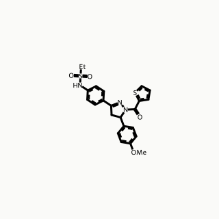 CCS(=O)(=O)Nc1ccc(C2=NN(C(=O)c3cccs3)C(c3ccc(OC)cc3)C2)cc1